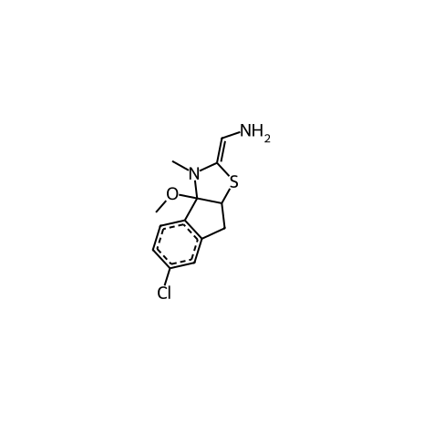 COC12c3ccc(Cl)cc3CC1SC(=CN)N2C